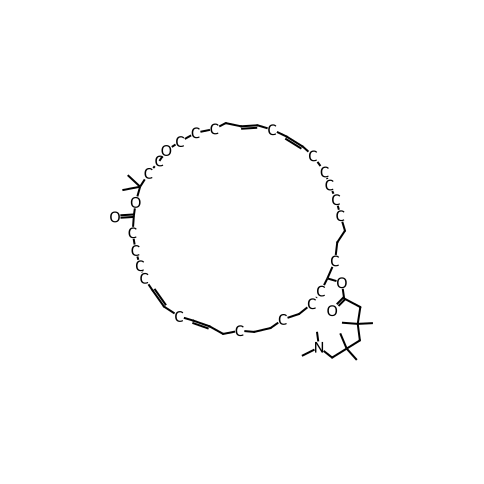 CN(C)CC(C)(C)CC(C)(C)CC(=O)OC1CCCCCCCC/C=C\C/C=C\CCCCOCCC(C)(C)OC(=O)CCCC/C=C\C/C=C\CCCCCCCC1